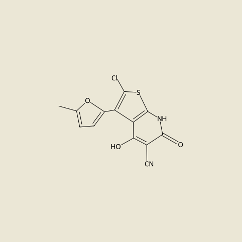 Cc1ccc(-c2c(Cl)sc3[nH]c(=O)c(C#N)c(O)c23)o1